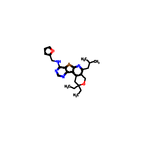 CCC1(CC)Cc2c(c(CC(C)C)nc3sc4c(NCc5ccco5)ncnc4c23)CO1